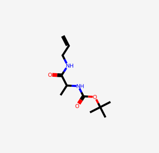 C=CCNC(=O)C(C)NC(=O)OC(C)(C)C